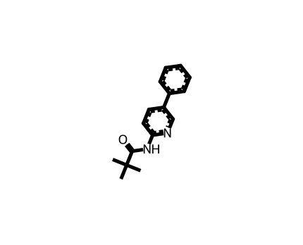 CC(C)(C)C(=O)Nc1ccc(-c2ccccc2)cn1